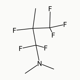 CN(C)C(F)(F)C(C)(F)C(F)(F)F